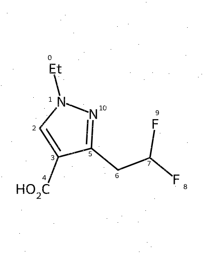 CCn1cc(C(=O)O)c(CC(F)F)n1